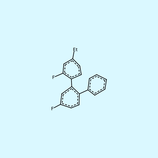 CCc1ccc(-c2cc(F)ccc2-c2ccccc2)c(F)c1